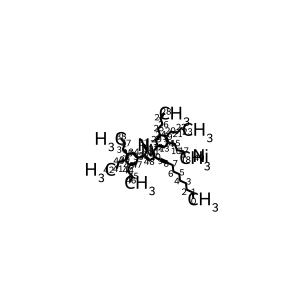 CCCCCCCCC#CC1=C(c2cc(CCCC)c(CCCC)c(CCCC)c2)[N+](=[N-])C(c2cc(CCC)c(CCC)c(CCC)c2)=C1.[Ni]